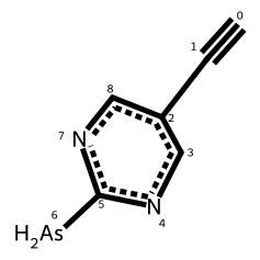 C#Cc1cnc([AsH2])nc1